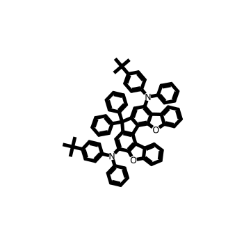 CC(C)(C)c1ccc(N(c2ccccc2)c2cc3c(c4c2oc2ccccc24)-c2c(cc(N(c4ccccc4)c4ccc(C(C)(C)C)cc4)c4c2oc2ccccc24)C3(c2ccccc2)c2ccccc2)cc1